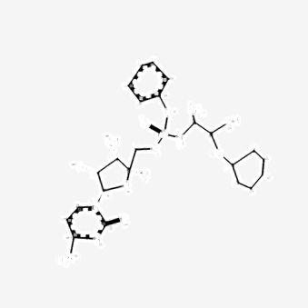 CC[C@]1(COP(=O)(NC(C)C(O)OC2CCCCC2)Oc2ccccc2)O[C@@H](n2ccc(N)nc2=O)[C@H](F)[C@@H]1O